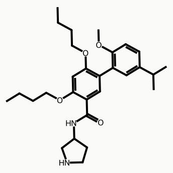 CCCCOc1cc(OCCCC)c(-c2cc(C(C)C)ccc2OC)cc1C(=O)NC1CCNC1